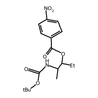 CCC(OC(=O)c1ccc([N+](=O)[O-])cc1)C(C)NC(=O)OC(C)(C)C